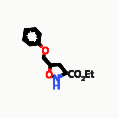 CCOC(=O)C1CC(COc2ccccc2)ON1